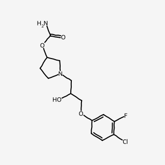 NC(=O)OC1CCN(CC(O)COc2ccc(Cl)c(F)c2)C1